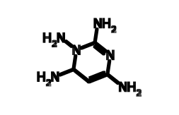 NC1=CC(N)N(N)C(N)=N1